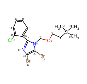 C[Si](C)(C)CCOCn1c(-c2ccccc2Cl)nc(Br)c1Br